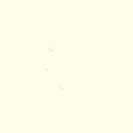 C=CC(=O)N1CC(C)(N(C)C(=O)Cn2ccc3cc(Br)ccc32)C1